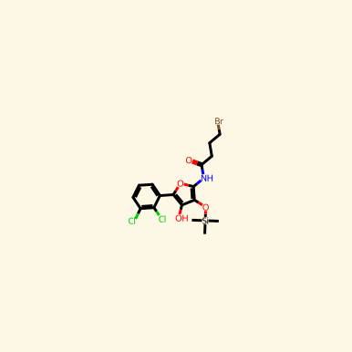 C[Si](C)(C)Oc1c(NC(=O)CCCBr)oc(-c2cccc(Cl)c2Cl)c1O